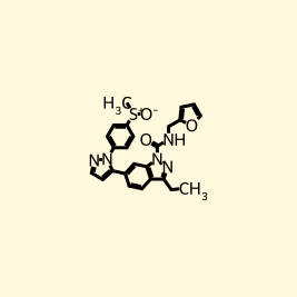 CCc1nn(C(=O)NCc2ccco2)c2cc(-c3ccnn3-c3ccc([S+](C)[O-])cc3)ccc12